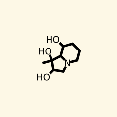 CC1(O)C(O)CN2CCCC(O)C21